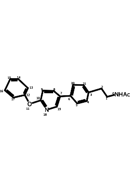 CC(=O)NCCc1ccc(-c2ccc(Oc3ccccc3)nc2)cc1